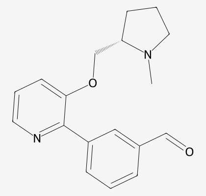 CN1CCC[C@H]1COc1cccnc1-c1cccc(C=O)c1